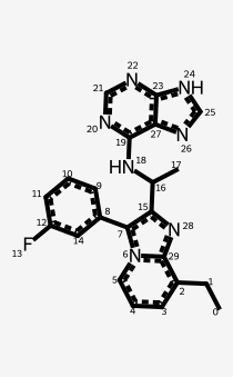 CCc1cccn2c(-c3cccc(F)c3)c(C(C)Nc3ncnc4[nH]cnc34)nc12